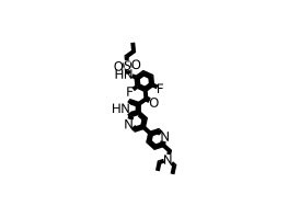 CCCS(=O)(=O)Nc1ccc(F)c(C(=O)c2c[nH]c3ncc(-c4ccc(CN(CC)CC)nc4)cc23)c1F